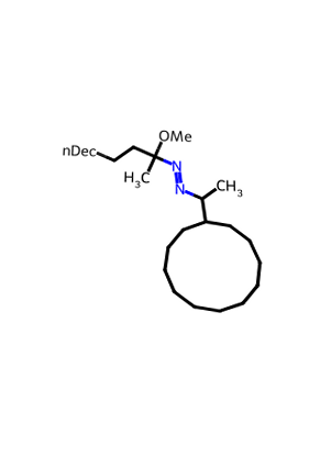 CCCCCCCCCCCCC(C)(N=NC(C)C1CCCCCCCCCCC1)OC